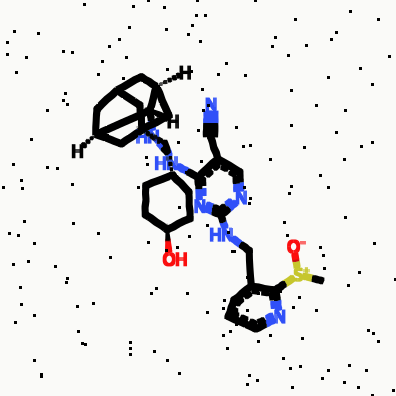 C[S+]([O-])c1ncccc1CNc1ncc(C#N)c(NC[C@]23CC4C[C@H](C2)[C@@H](NC[C@H]2CC[C@H](O)CC2)[C@@H](C4)C3)n1